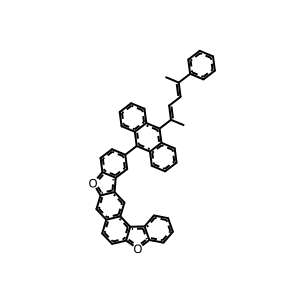 C/C(=C\C=C(/C)c1c2ccccc2c(-c2ccc3oc4cc5ccc6oc7ccccc7c6c5cc4c3c2)c2ccccc12)c1ccccc1